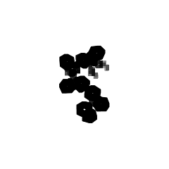 CC1(C)c2ccccc2-c2ccc(-c3nc(-n4c5ccccc5c5cc(-c6ccc7c8ccccc8n(-c8cccc9ccccc89)c7c6)ccc54)nc4ccccc34)cc21